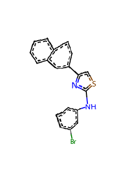 Brc1cccc(Nc2nc(-c3ccc4ccccc4c3)cs2)c1